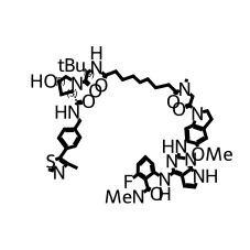 CNC(=O)c1c(F)cccc1Nc1nc(Nc2cc3c(cc2OC)CCN3C(=O)CN(C)C(=O)CCCCCCCC(=O)N[C@H](C(=O)N2C[C@H](O)C[C@H]2C(=O)NCc2ccc(-c3scnc3C)cc2)C(C)(C)C)nc2[nH]ccc12